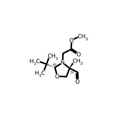 COC(=O)CN1[C@@H](C(C)(C)C)OC[C@@]1(C)C=O